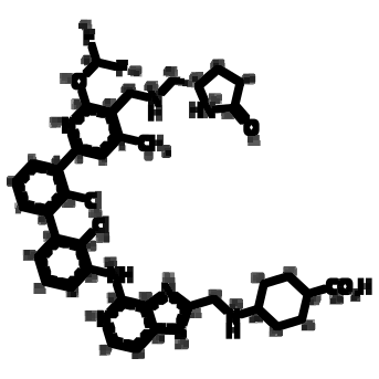 Cc1cc(-c2cccc(-c3cccc(Nc4nccc5sc(CNC6CCC(C(=O)O)CC6)nc45)c3Cl)c2Cl)nc(OC(F)F)c1CNC[C@@H]1CCC(=O)N1